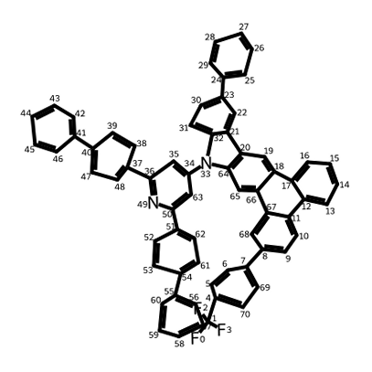 FC(F)(F)c1ccc(-c2ccc3c4ccccc4c4cc5c6cc(-c7ccccc7)ccc6n(-c6cc(-c7ccc(-c8ccccc8)cc7)nc(-c7ccc(-c8ccccc8)cc7)c6)c5cc4c3c2)cc1